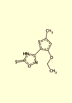 CCOc1cc(C)sc1-c1noc(=S)[nH]1